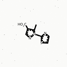 Cc1c(C(=O)O)cnn1-c1nccs1